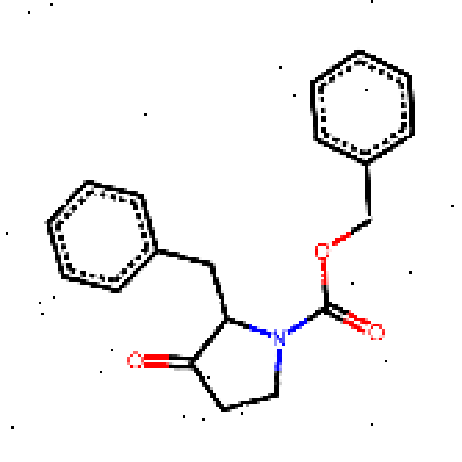 O=C1CCN(C(=O)OCc2ccccc2)C1Cc1ccccc1